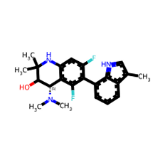 Cc1c[nH]c2c(-c3c(F)cc4c(c3F)[C@H](N(C)C)C(O)C(C)(C)N4)cccc12